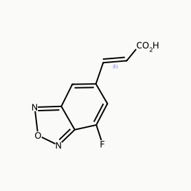 O=C(O)/C=C/c1cc(F)c2nonc2c1